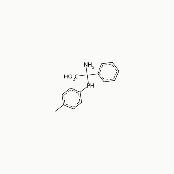 Cc1ccc(PC(N)(C(=O)O)c2ccccc2)cc1